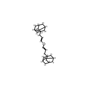 C(=COC=CCC12CC3CC(CC(C3)C1)C2)CC12CC3CC(CC(C3)C1)C2